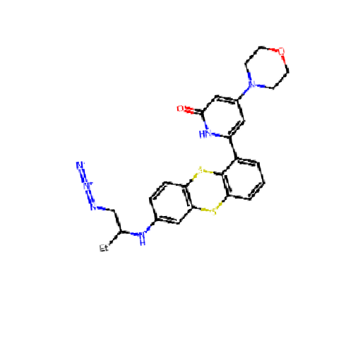 CCC(CN=[N+]=[N-])Nc1ccc2c(c1)Sc1cccc(-c3cc(N4CCOCC4)cc(=O)[nH]3)c1S2